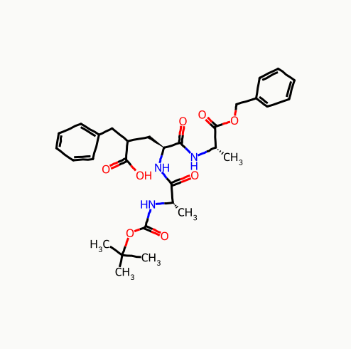 C[C@H](NC(=O)OC(C)(C)C)C(=O)N[C@@H](CC(Cc1ccccc1)C(=O)O)C(=O)N[C@@H](C)C(=O)OCc1ccccc1